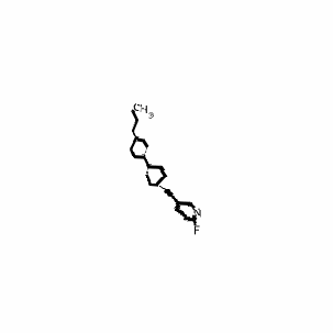 CCCC[C@H]1CC[C@H]([C@H]2CC[C@H](C#Cc3ccc(F)nc3)CC2)CC1